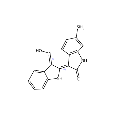 O=C1Nc2cc([SiH3])ccc2/C1=C1/Nc2ccccc2/C1=N\O